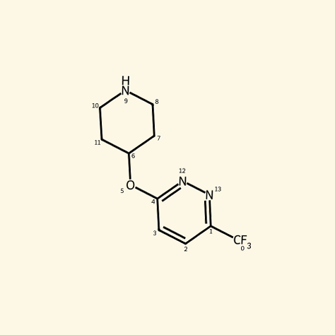 FC(F)(F)c1ccc(OC2CCNCC2)nn1